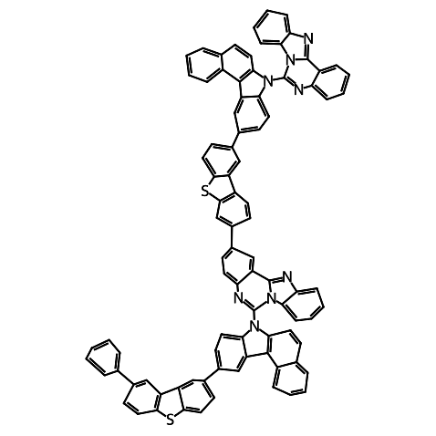 c1ccc(-c2ccc3sc4ccc(-c5ccc6c(c5)c5c7ccccc7ccc5n6-c5nc6ccc(-c7ccc8c(c7)sc7ccc(-c9ccc%10c(c9)c9c%11ccccc%11ccc9n%10-c9nc%10ccccc%10c%10nc%11ccccc%11n9%10)cc78)cc6c6nc7ccccc7n56)cc4c3c2)cc1